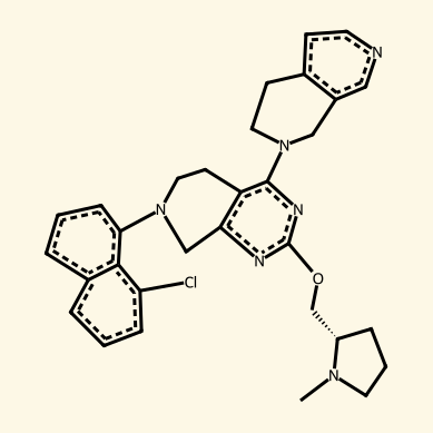 CN1CCC[C@H]1COc1nc2c(c(N3CCc4ccncc4C3)n1)CCN(c1cccc3cccc(Cl)c13)C2